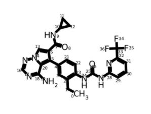 CCc1cc(-c2c(C(=O)NC3CC3)cn3ncnc(N)c23)ccc1NC(=O)Nc1cccc(C(F)(F)F)n1